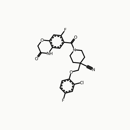 N#CC1(COc2ccc(F)cc2Cl)CCN(C(=O)c2cc3c(cc2F)OCC(=O)N3)CC1